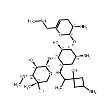 CNCC1=CC[C@@H](N)[C@@H](O[C@H]2[C@H](O)[C@@H](O[C@H]3OC[C@](C)(O)[C@H](NC)[C@H]3O)[C@H](NC(C)C3(O)CC(N)C3)C[C@@H]2N)O1